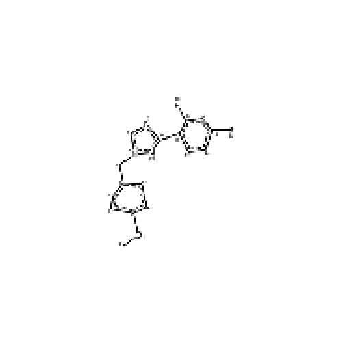 COc1ccc(Cn2cnc(-c3ccc(Br)cc3F)n2)cc1